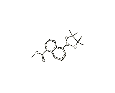 COC(=O)c1cccc2c(B3OC(C)(C)C(C)(C)O3)cccc12